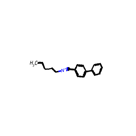 CCCCC[N+]#Cc1ccc(-c2ccccc2)cc1